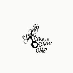 COc1ccc(-c2c(Cl)[nH]c(C(=O)NO)c2Cl)c(OC)c1OC